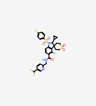 O=C(NCc1ccc(C(F)F)cn1)c1ccc2c(c1F)C1(CCS(=O)(=O)CC1)C(C1CC1)N2S(=O)(=O)c1ccc(F)cc1